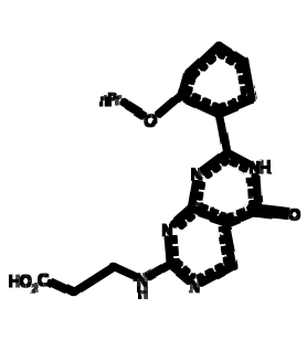 CCCOc1ccccc1-c1nc2nc(NCCC(=O)O)ncc2c(=O)[nH]1